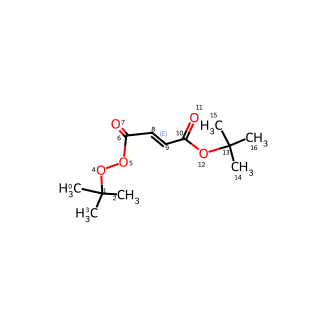 CC(C)(C)OOC(=O)/C=C/C(=O)OC(C)(C)C